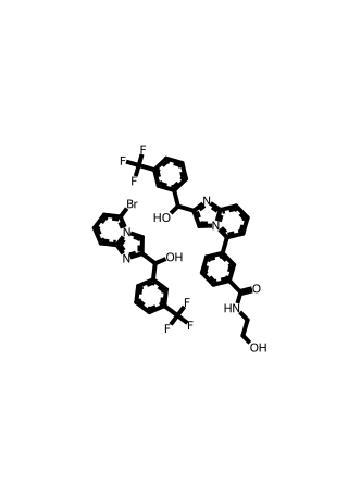 O=C(NCCO)c1cccc(-c2cccc3nc(C(O)c4cccc(C(F)(F)F)c4)cn23)c1.OC(c1cccc(C(F)(F)F)c1)c1cn2c(Br)cccc2n1